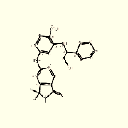 CC1(C)NC(=O)c2cnc(Nc3cc(N[C@H](CO)c4ccccc4)c(C(=O)O)cn3)nc21